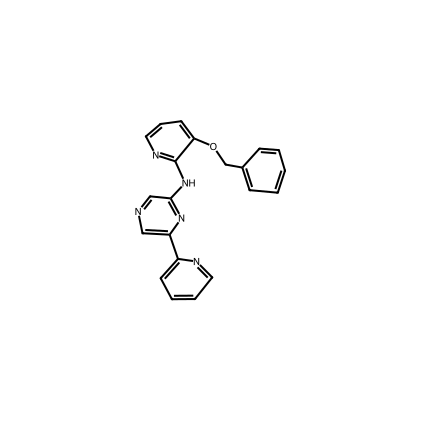 c1ccc(COc2cccnc2Nc2cncc(-c3ccccn3)n2)cc1